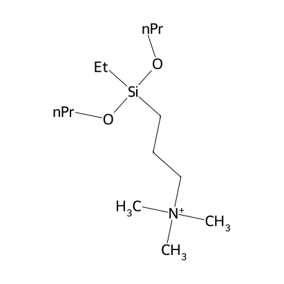 CCCO[Si](CC)(CCC[N+](C)(C)C)OCCC